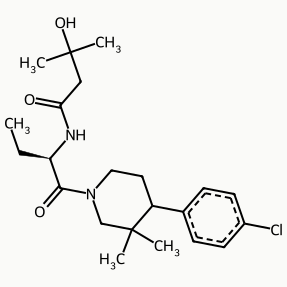 CC[C@@H](NC(=O)CC(C)(C)O)C(=O)N1CCC(c2ccc(Cl)cc2)C(C)(C)C1